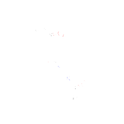 CCC(C)C(=O)N1CCN(C(=O)CCC(=O)NC)CC1